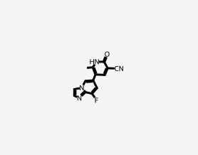 Cc1[nH]c(=O)c(C#N)cc1-c1cc(F)c2nccn2c1